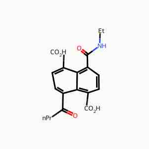 CCCC(=O)c1ccc(C(=O)O)c2c(C(=O)NCC)ccc(C(=O)O)c12